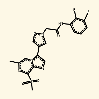 Cc1cn2c(-c3cnn(CC(=O)Nc4cccc(F)c4F)c3)cnc2c(S(C)(=O)=O)n1